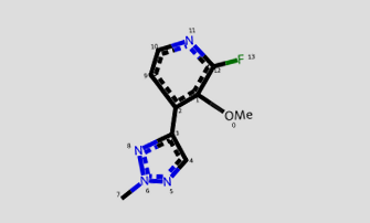 COc1c(-c2cnn(C)n2)ccnc1F